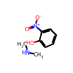 CNC.O=[N+]([O-])c1ccccc1O